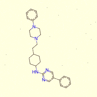 c1ccc(-c2cnc(NC3CCC(CCN4CCN(c5ccccc5)CC4)CC3)nc2)cc1